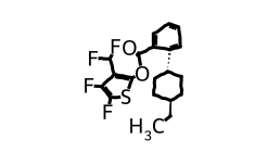 CC[C@H]1CC[C@H](c2ccccc2C(=O)Oc2sc(F)c(F)c2C(F)F)CC1